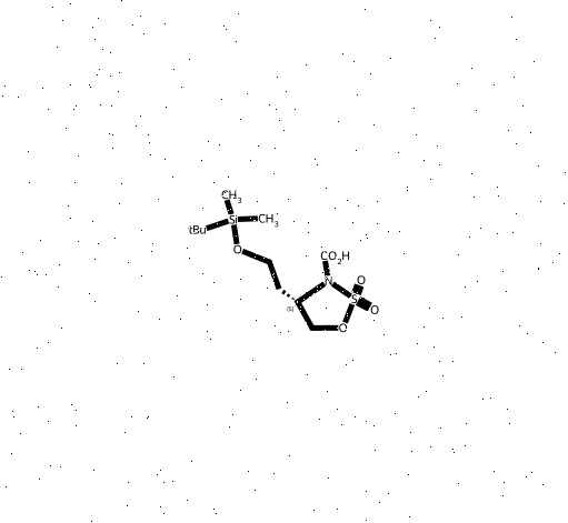 CC(C)(C)[Si](C)(C)OCC[C@H]1COS(=O)(=O)N1C(=O)O